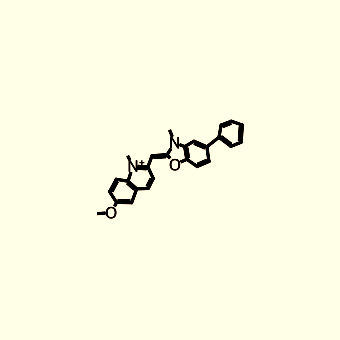 COc1ccc2c(ccc(/C=C3\Oc4ccc(-c5ccccc5)cc4N3C)[n+]2C)c1